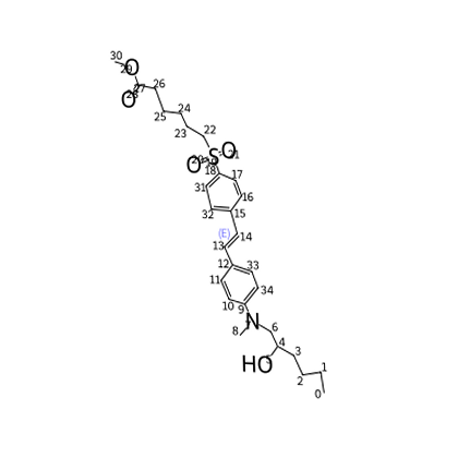 CCCCC(O)CN(C)c1ccc(/C=C/c2ccc(S(=O)(=O)CCCCCC(=O)OC)cc2)cc1